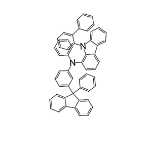 c1ccc(-c2ccccc2-n2c3ccccc3c3cccc(N(c4ccccc4)c4cccc(C5(c6ccccc6)c6ccccc6-c6ccccc65)c4)c32)cc1